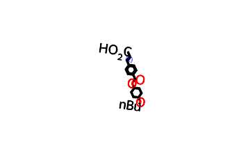 CCCCOC1CCC(OC(=O)c2ccc(/C=C/C(=O)O)cc2)CC1